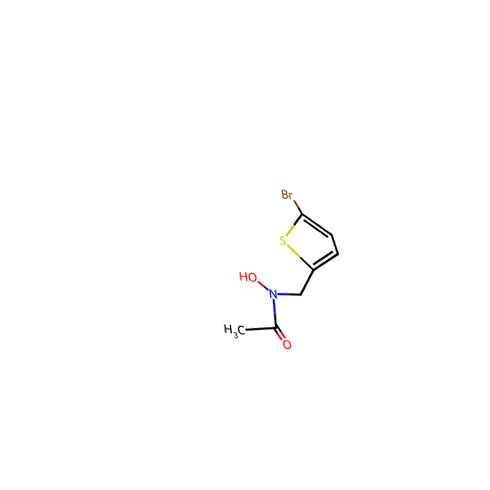 CC(=O)N(O)Cc1ccc(Br)s1